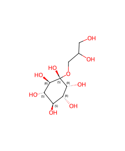 OCC(O)CO[C@]1(O)[C@H](O)[C@H](O)[C@@H](O)[C@H](O)[C@H]1O